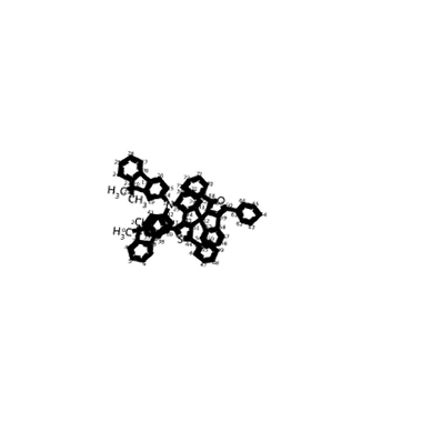 CC1(C)c2ccccc2-c2ccc(N(c3ccc4c(c3)C(C)(C)c3ccccc3-4)c3cccc4c3-c3c(-c5ccccc5)sc(-c5ccccc5)c3C43c4ccccc4-c4c(-c5ccccc5)oc(-c5ccccc5)c43)cc21